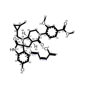 C=C(Cl)/C=C\C=C(/F)[C@H]1[C@@H]2C(=O)N(c3ccc(C(=O)OC)cc3OC)CC[C@@H]2N(CC2CC2C)[C@@]12C(=O)Nc1cc(Cl)ccc12